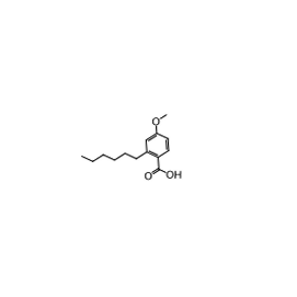 CCCCCCc1cc(OC)ccc1C(=O)O